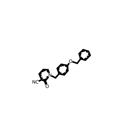 N#Cc1cccn(Cc2ccc(OCc3ccccc3)cc2)c1=O